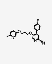 Cc1ccc(OCCCOc2cnc(C#N)cc2-c2ccc(F)cc2)cn1